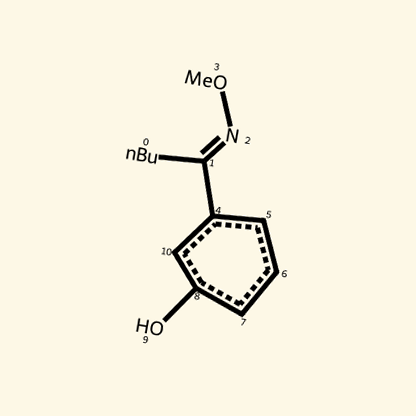 CCCC/C(=N\OC)c1cccc(O)c1